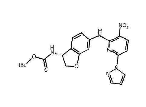 CC(C)(C)OC(=O)N[C@H]1COc2cc(Nc3nc(-n4cccn4)ccc3[N+](=O)[O-])ccc21